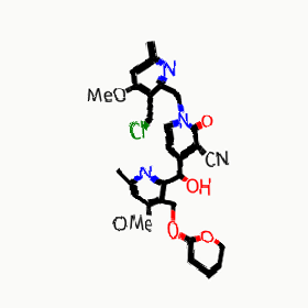 COc1cc(C)nc(Cn2ccc(C(O)c3nc(C)cc(OC)c3COC3CCCCO3)c(C#N)c2=O)c1CCl